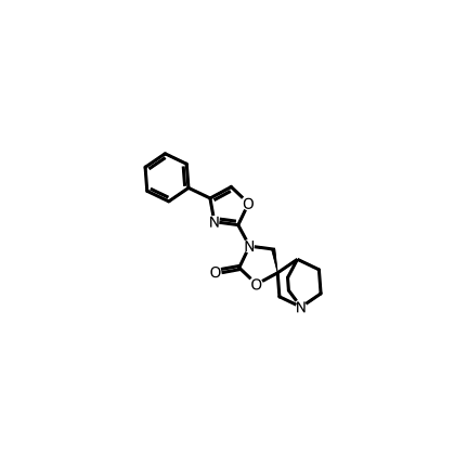 O=C1O[C@]2(CN3CCC2CC3)CN1c1nc(-c2ccccc2)co1